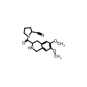 COc1cc2c(cc1OC)CC(C(=O)N1CCCC1C#N)NC2